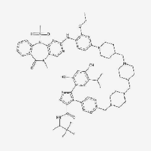 CCOc1cc(N2CCC(CN3CCC(CN4CCN(Cc5ccc(-n6c(C(=O)NC(C)C(F)(F)F)nnc6-c6cc(C(C)C)c(O)cc6O)cc5)CC4)CC3)CC2)ccc1Nc1ncc2c(n1)N(S(C)(=O)=O)c1ccccc1C(=O)N2C